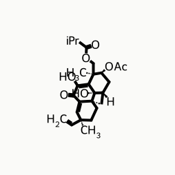 C=C[C@@]1(C)C=C2C(=O)C(O)=C3[C@@]4(O)[C@H](C[C@H](OC(C)=O)[C@]3(C)COC(=O)C(C)C)C[C@]24CC1